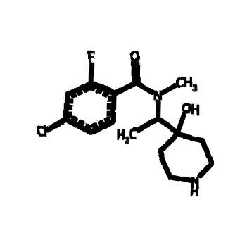 CC(N(C)C(=O)c1ccc(Cl)cc1F)C1(O)CCNCC1